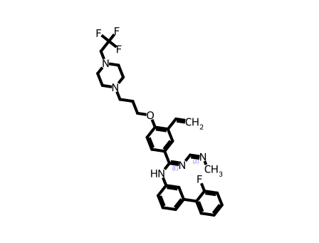 C=Cc1cc(/C(=N\C=N/C)Nc2cccc(-c3ccccc3F)c2)ccc1OCCCN1CCN(CC(F)(F)F)CC1